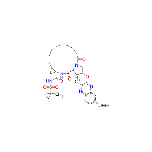 COc1ccc2nc(C)c(OC3CC4C(=O)NC5(C(=O)NS(=O)(=O)C6(C)CC6)CC5C=CCCCCCCC(=O)N4C3)nc2c1